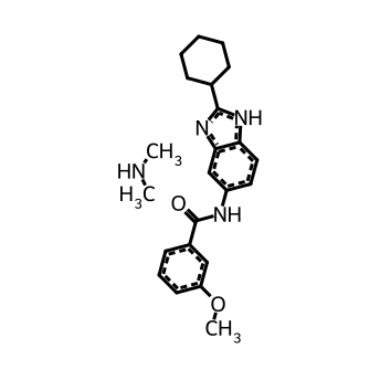 CNC.COc1cccc(C(=O)Nc2ccc3[nH]c(C4CCCCC4)nc3c2)c1